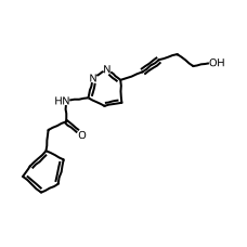 O=C(Cc1ccccc1)Nc1ccc(C#CCCO)nn1